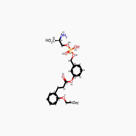 CCCCCCCCCCCOc1ccccc1CCC(=O)Oc1cccc(COP(=O)(O)OC[C@H](N)C(=O)O)c1